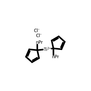 CCC[C]1([Ti+2][C]2(CCC)C=CC=C2)C=CC=C1.[Cl-].[Cl-]